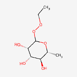 CCOOC1O[C@H](C)[C@@H](O)[C@H](O)[C@@H]1O